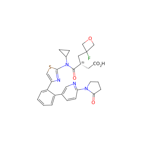 O=C(O)C[C@@H](CC1(F)COC1)C(=O)N(c1nc(-c2ccccc2-c2ccc(N3CCCC3=O)nc2)cs1)C1CC1